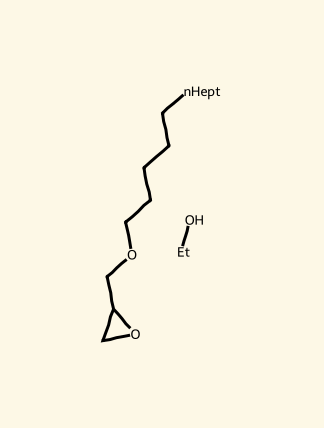 CCCCCCCCCCCCOCC1CO1.CCO